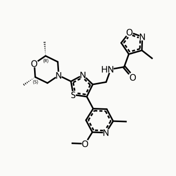 COc1cc(-c2sc(N3C[C@@H](C)O[C@@H](C)C3)nc2CNC(=O)c2conc2C)cc(C)n1